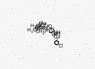 CC(C)(C)[Si](C)(C)OC[C@H]1O[C@@H](n2ccc(NP3(=O)OCC[C@@H](c4cccc(Cl)c4)O3)nc2=O)C(F)(F)C1O[Si](C)(C)C(C)(C)C